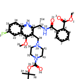 COC(=O)c1ccccc1C(=O)N[C@@H](C)c1nc2ccc(F)cc2c(OC)c1CN1CCN(C(=O)OC(C)(C)C)CC1